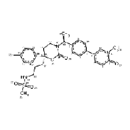 C[C@@H](c1ccc(-c2ccc(=O)n(C)c2)cc1)N1CC[C@](CCCNS(C)(=O)=O)(c2ccc(F)cc2)OC1=O